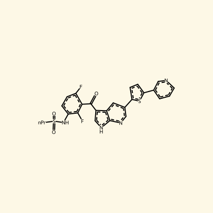 CCCS(=O)(=O)Nc1ccc(F)c(C(=O)c2c[nH]c3ncc(-c4ccc(-c5cccnc5)s4)cc23)c1F